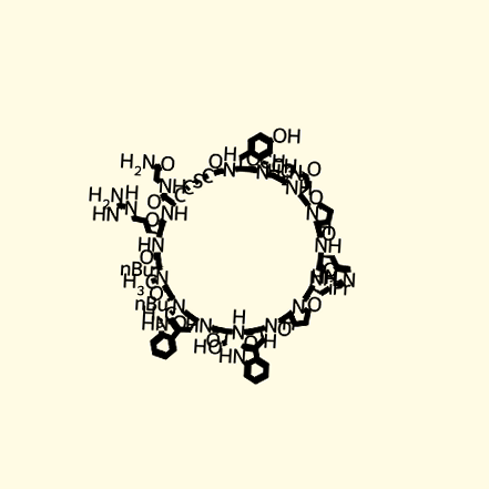 CCCC[C@H]1C(=O)N(C)[C@@H](CCCC)C(=O)N[C@@H](CCCNC(=N)N)C(=O)NC(C(=O)NCC(N)=O)CCSCC(=O)N[C@@H](Cc2ccc(O)cc2)C(=O)N(C)[C@@H](C)C(=O)N[C@@H](CC(N)=O)C(=O)N2CCC[C@H]2C(=O)N[C@@H](Cc2cnc[nH]2)C(=O)N[C@@H](CC(C)C)C(=O)N2CCC[C@H]2C(=O)N[C@@H](Cc2c[nH]c3ccccc23)C(=O)N[C@@H](CO)C(=O)N[C@@H](Cc2c[nH]c3ccccc23)C(=O)N1C